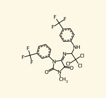 CN1C(=O)C(=NC(Nc2ccc(C(F)(F)F)cc2)C(Cl)(Cl)Cl)N(c2cccc(C(F)(F)F)c2)C1=O